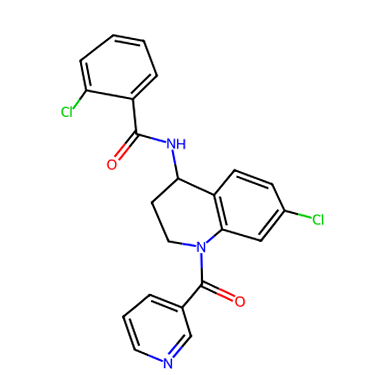 O=C(NC1CCN(C(=O)c2cccnc2)c2cc(Cl)ccc21)c1ccccc1Cl